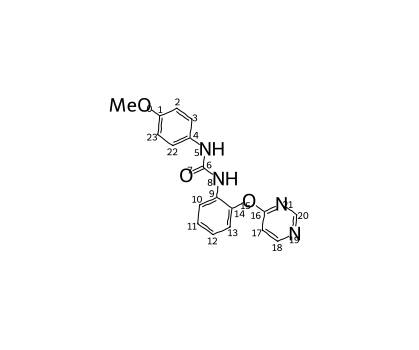 COc1ccc(NC(=O)Nc2ccccc2Oc2ccncn2)cc1